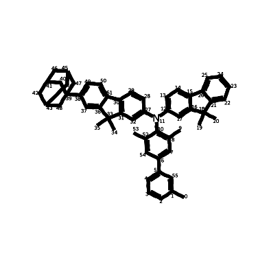 Cc1cccc(-c2cc(C)c(N(c3ccc4c(c3)C(C)(C)c3ccccc3-4)c3ccc4c(c3)C(C)(C)c3cc(C56CC7CC(CC(C7)C5)C6)ccc3-4)c(C)c2)c1